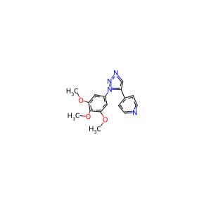 COc1cc(-n2nncc2-c2ccncc2)cc(OC)c1OC